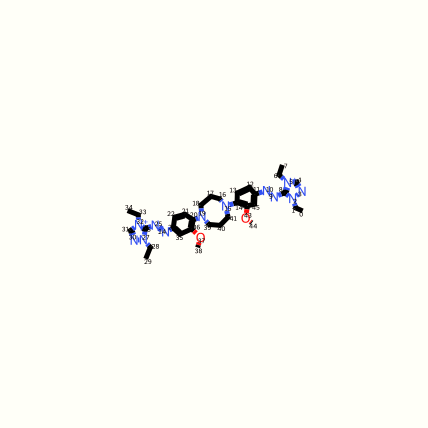 CCn1nc[n+](CC)c1N=Nc1ccc(N2CCCN(c3ccc(N=Nc4n(CC)nc[n+]4CC)cc3OC)CCC2)c(OC)c1